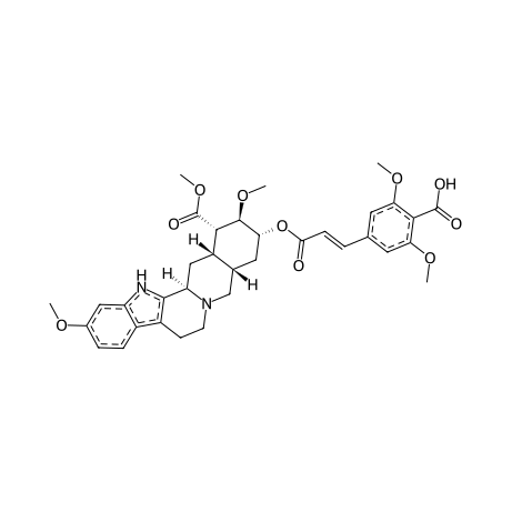 COC(=O)[C@H]1[C@H]2C[C@@H]3c4[nH]c5cc(OC)ccc5c4CCN3C[C@H]2C[C@@H](OC(=O)/C=C/c2cc(OC)c(C(=O)O)c(OC)c2)[C@@H]1OC